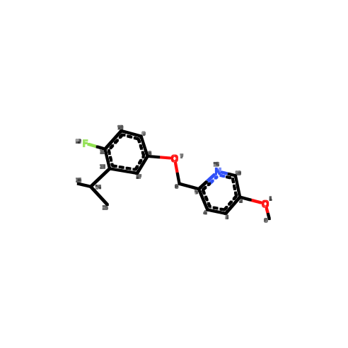 COc1ccc(COc2ccc(F)c(C(C)C)c2)nc1